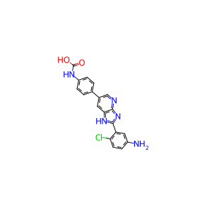 Nc1ccc(Cl)c(-c2nc3ncc(-c4ccc(NC(=O)O)cc4)cc3[nH]2)c1